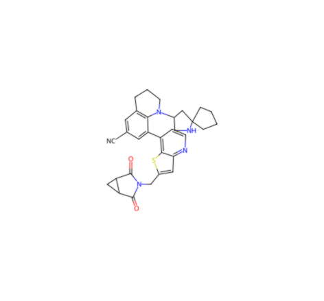 N#Cc1cc2c(c(-c3ccnc4cc(CN5C(=O)C6CC6C5=O)sc34)c1)N(C1CNC3(CCCC3)C1)CCC2